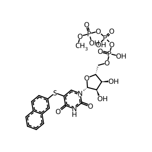 COP(=O)(O)OP(=O)(O)OP(=O)(O)OC[C@H]1O[C@@H](n2cc(Sc3ccc4ccccc4c3)c(=O)[nH]c2=O)[C@H](O)[C@@H]1O